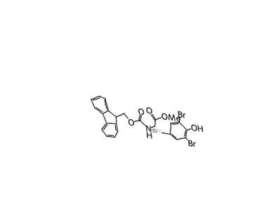 COC(=O)[C@H](Cc1cc(Br)c(O)c(Br)c1)NC(=O)OCC1c2ccccc2-c2ccccc21